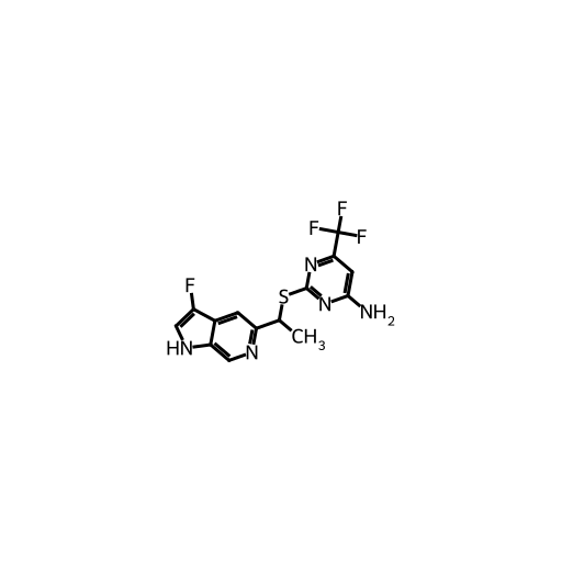 CC(Sc1nc(N)cc(C(F)(F)F)n1)c1cc2c(F)c[nH]c2cn1